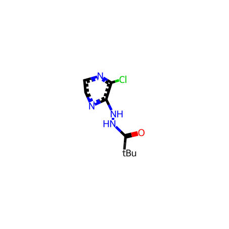 CC(C)(C)C(=O)NNc1nccnc1Cl